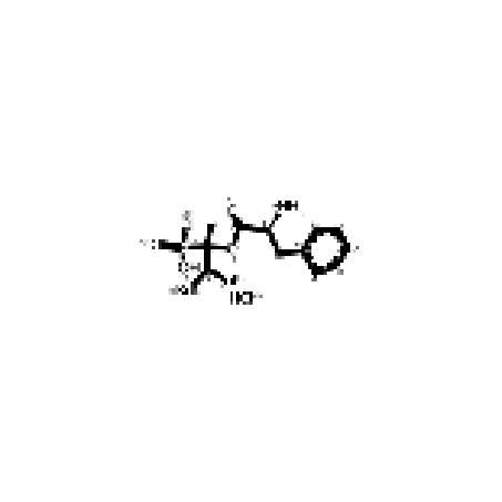 CCCCC(CCC)C(C)(OC(=O)[C@@H](N)Cc1ccccc1)P(=O)(O)O.Cl